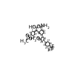 CCS(=O)(=O)c1ccc([C@@H](CO)c2cc(C3CC(c4ccc(C(F)(F)F)cc4)CN3C)ccc2C(N)=O)cc1